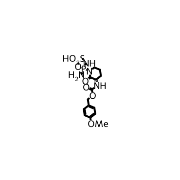 COc1ccc(COC(=O)N[C@H]2CCCN(P(N)(=O)NS(=O)(=O)O)C2=O)cc1